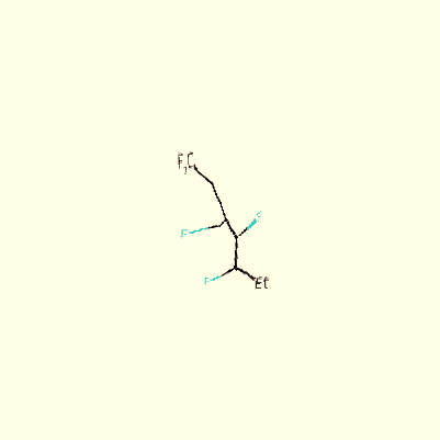 [CH2]CC(F)[C@H](F)C(F)CC(F)(F)F